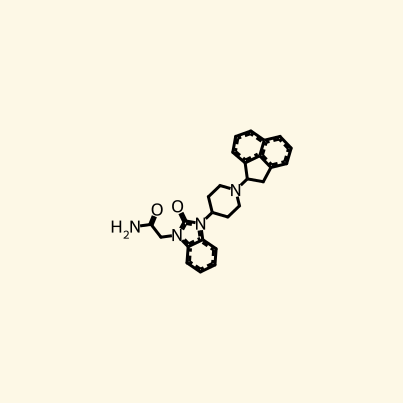 NC(=O)Cn1c(=O)n(C2CCN(C3Cc4cccc5cccc3c45)CC2)c2ccccc21